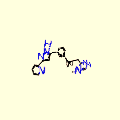 C[C@H](Cc1nncn1C)c1cccc(-c2cc(-c3ccccn3)n[nH]2)c1